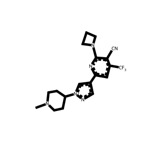 CN1CCC(n2cc(-c3cc(C(F)(F)F)c(C#N)c(N4CCC4)n3)cn2)CC1